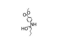 CCCC[C@@H](CO)Nc1ccc(C(=O)OCC)cc1